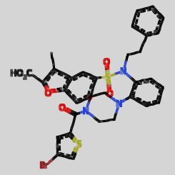 Cc1c(C(=O)O)oc2ccc(S(=O)(=O)N(CCc3ccccc3)c3ccccc3N3CCN(C(=O)c4cc(Br)cs4)CC3)cc12